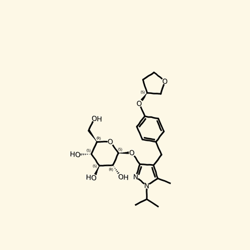 Cc1c(Cc2ccc(O[C@H]3CCOC3)cc2)c(O[C@@H]2O[C@H](CO)[C@@H](O)[C@H](O)[C@H]2O)nn1C(C)C